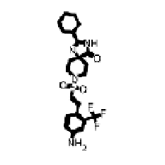 Nc1ccc(C=CS(=O)(=O)N2CCC3(CC2)N=C(C2CCCCC2)NC3=O)c(C(F)(F)F)c1